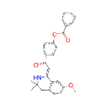 COc1ccc2c(c1)C(=CC(=O)c1ccc(OC(=O)c3ccccc3)cc1)NC(C)(C)C2